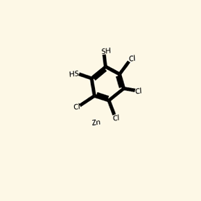 Sc1c(S)c(Cl)c(Cl)c(Cl)c1Cl.[Zn]